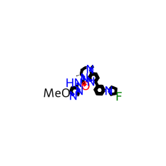 COc1cc(NC(=O)N2c3nc(-c4cccc(N5CC[C@@H](F)C5)c4)ccc3N(C)CC[C@H]2C)ncn1